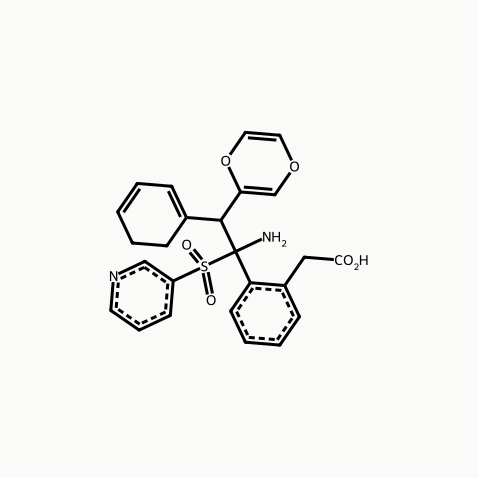 NC(c1ccccc1CC(=O)O)(C(C1=CC=CCC1)C1=COC=CO1)S(=O)(=O)c1cccnc1